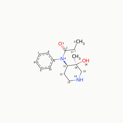 CCC(=O)N(c1ccccc1)[C@@H]1CCNC[C@]1(C)O